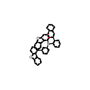 c1cc(-c2cccc3oc4ccccc4c23)cc(N(c2ccccc2-c2ccc3ccccc3c2)c2cccc3oc4ccccc4c23)c1